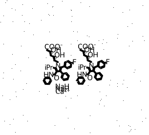 CC(C)c1c(C(=O)Nc2ccccc2)c(-c2ccccc2)c(-c2ccc(F)cc2)n1CC[C@@H](O)C[C@@H](O)CC(=O)[O-].CC(C)c1c(C(=O)Nc2ccccc2)c(-c2ccccc2)c(-c2ccc(F)cc2)n1CC[C@@H](O)C[C@@H](O)CC(=O)[O-].[Ca+2].[NaH].[NaH]